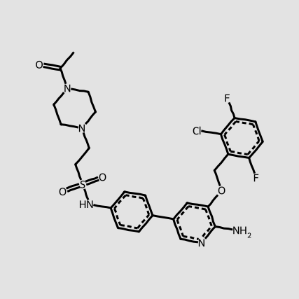 CC(=O)N1CCN(CCS(=O)(=O)Nc2ccc(-c3cnc(N)c(OCc4c(F)ccc(F)c4Cl)c3)cc2)CC1